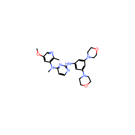 COc1cnc(C)c(N(C)c2ccnc(Nc3cc(N4CCOCC4)cc(N4CCOCC4)c3)n2)c1